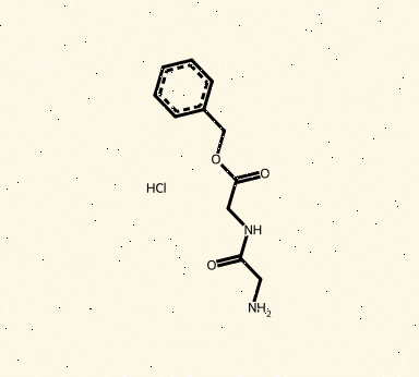 Cl.NCC(=O)NCC(=O)OCc1ccccc1